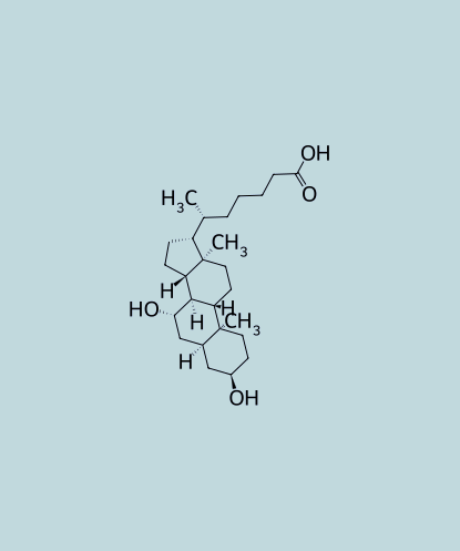 C[C@H](CCCCC(=O)O)[C@H]1CC[C@H]2[C@@H]3[C@@H](O)C[C@@H]4C[C@H](O)CC[C@]4(C)[C@H]3CC[C@]12C